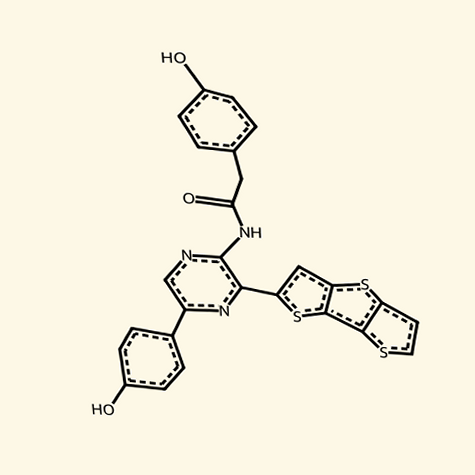 O=C(Cc1ccc(O)cc1)Nc1ncc(-c2ccc(O)cc2)nc1-c1cc2sc3ccsc3c2s1